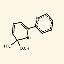 CC1(C(=O)O)C=CC=C(c2ccccn2)N1